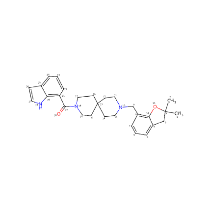 CC1(C)Cc2cccc(CN3CCC4(CC3)CCN(C(=O)c3cccc5cc[nH]c35)CC4)c2O1